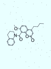 CCCCc1cc(=O)oc2c(C(=O)N3CCCc4ccccc43)c(OC)ccc12